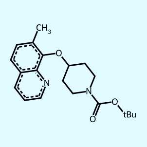 Cc1ccc2cccnc2c1OC1CCN(C(=O)OC(C)(C)C)CC1